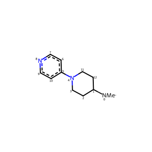 C[N]C1CCN(c2ccncc2)CC1